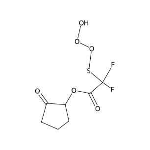 O=C1CCCC1OC(=O)C(F)(F)SOOO